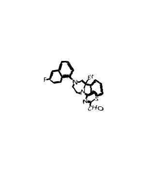 CCC1(c2ccccc2)CN(c2cccc3cc(F)ccc23)CCN1c1csc(C=O)n1